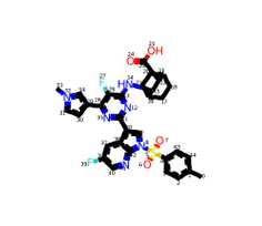 Cc1ccc(S(=O)(=O)n2cc(-c3nc(NC4C5CCC(CC5)C4C(=O)O)c(F)c(-c4ccn(C)c4)n3)c3cc(F)cnc32)cc1